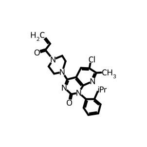 C=CC(=O)N1CCN(c2nc(=O)n(-c3ccccc3C(C)C)c3nc(C)c(Cl)cc23)CC1